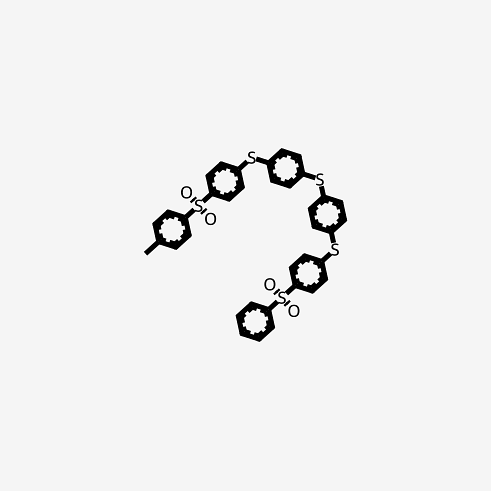 Cc1ccc(S(=O)(=O)c2ccc(Sc3ccc(Sc4ccc(Sc5ccc(S(=O)(=O)c6ccccc6)cc5)cc4)cc3)cc2)cc1